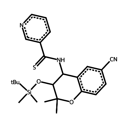 CC1(C)Oc2ccc(C#N)cc2C(NC(=S)c2cccnc2)C1O[Si](C)(C)C(C)(C)C